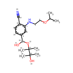 CC(C)OCCNc1cc(B(O)OC(C)(C)C(C)(C)O)ccc1C#N